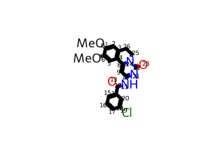 COc1cc2c(cc1OC)-c1cc(NC(=O)c3cccc(Cl)c3)nc(=O)n1CC2